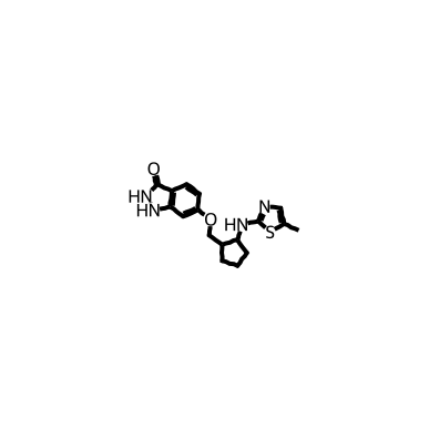 Cc1cnc(NC2CCCC2COc2ccc3c(=O)[nH][nH]c3c2)s1